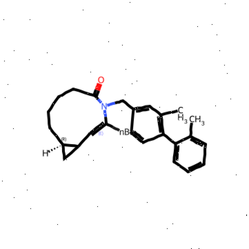 CCCC/C1=C\C2C[C@H]2CCCCC(=O)N1Cc1ccc(-c2ccccc2C)c(C)c1